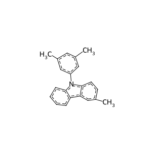 Cc1cc(C)cc(-n2c3ccccc3c3cc(C)ccc32)c1